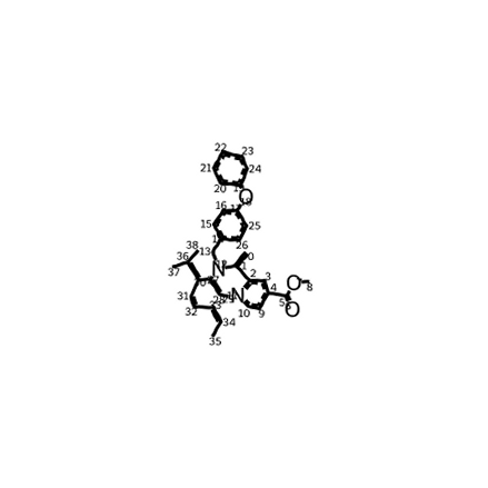 C=C(c1cc(C(=O)OC)ccn1)N(Cc1ccc(Oc2ccccc2)cc1)/C(=C\C)C(/C=C\C=C/C)=C(C)C